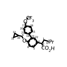 CC(C)CC(C(=O)O)c1ccc(OCC2CC2)c(-c2ccc(OC(F)(F)F)cc2)c1